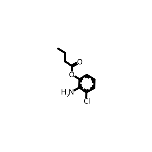 CCCC(=O)Oc1cccc(Cl)c1N